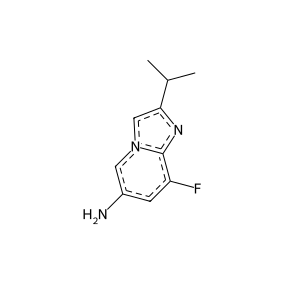 CC(C)c1cn2cc(N)cc(F)c2n1